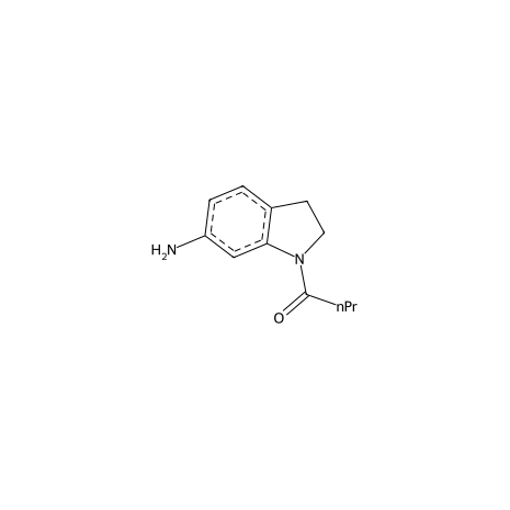 CCCC(=O)N1CCc2ccc(N)cc21